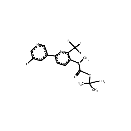 CN(C(=O)OC(C)(C)C)c1cnc(-c2cncc(F)c2)nc1C(F)(F)F